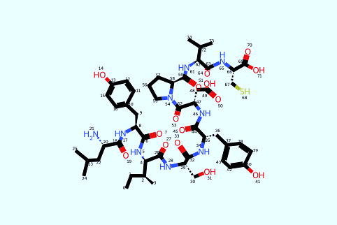 CC[C@H](C)[C@H](NC(=O)[C@H](Cc1ccc(O)cc1)NC(=O)[C@@H](N)CC(C)C)C(=O)N[C@@H](CO)C(=O)N[C@@H](Cc1ccc(O)cc1)C(=O)N[C@@H](CC(=O)O)C(=O)N1CCC[C@H]1C(=O)N[C@H](C(=O)N[C@@H](CS)C(=O)O)C(C)C